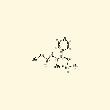 CCCC(NC(=O)OC(C)(C)C)[C@H](O[Si](C)(C)C(C)(C)C)c1ccccc1